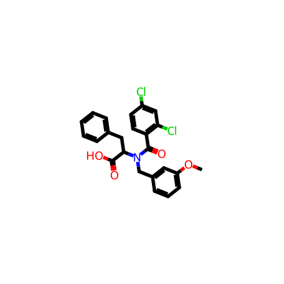 COc1cccc(CN(C(=O)c2ccc(Cl)cc2Cl)C(Cc2ccccc2)C(=O)O)c1